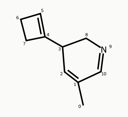 CC1=CC(C2=CCC2)CN=C1